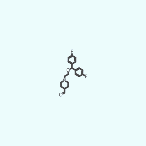 O=CC1CCN(CCOC(c2ccc(F)cc2)c2ccc(F)cc2)CC1